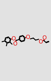 C=CC(=O)OCCCCOc1ccc(C(=O)Oc2ccc(C)c(C)c2C)cc1